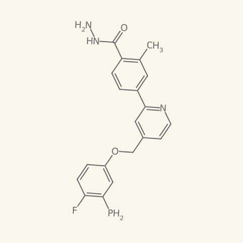 Cc1cc(-c2cc(COc3ccc(F)c(P)c3)ccn2)ccc1C(=O)NN